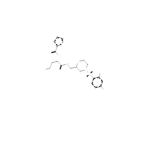 CC[C@H](C)[C@H](NC(=O)c1ccco1)C(=O)NCC1CN(S(=O)(=O)c2ccc(Cl)cc2Cl)CCO1